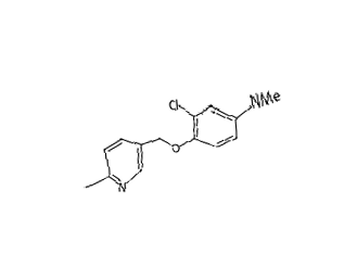 CNc1ccc(OCc2ccc(C)nc2)c(Cl)c1